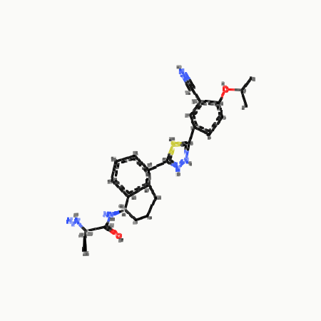 CC(C)Oc1ccc(-c2nnc(-c3cccc4c3CCC[C@H]4NC(=O)[C@@H](C)N)s2)cc1C#N